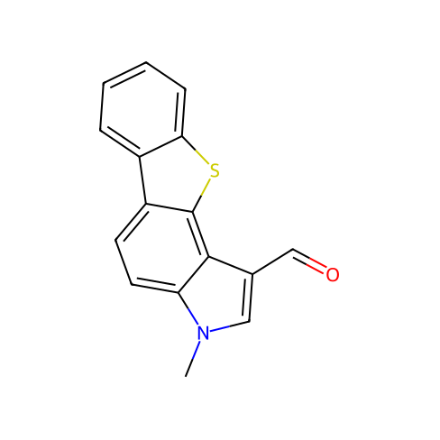 Cn1cc(C=O)c2c3sc4ccccc4c3ccc21